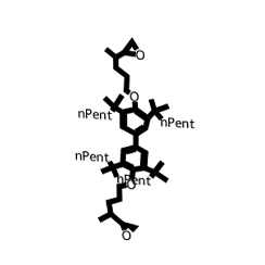 CCCCCC(C)(C)c1cc(-c2cc(C(C)(C)CCCCC)c(OCCCC(C)C3CO3)c(C(C)(C)CCCCC)c2)cc(C(C)(C)CCCCC)c1OCCCC(C)C1CO1